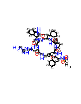 CS(=O)(=O)N[C@@H](Cc1ccccc1)C(=O)NC1CCCNC(=O)[C@H](CCCNC(=N)N)NC(=O)[C@H](Cc2c[nH]c3ccccc23)NC(=O)[C@@H](CC2CCCCC2)NC(=O)[C@@H]2CCCN2C1=O